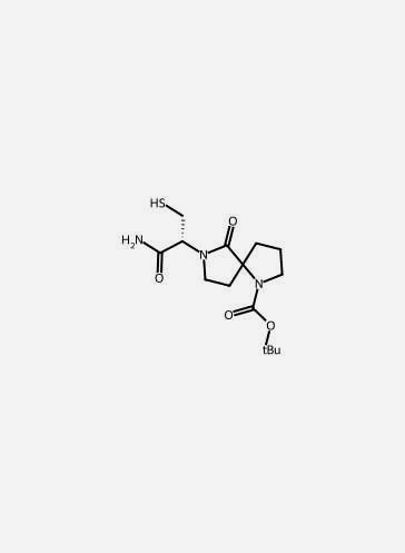 CC(C)(C)OC(=O)N1CCCC12CCN([C@@H](CS)C(N)=O)C2=O